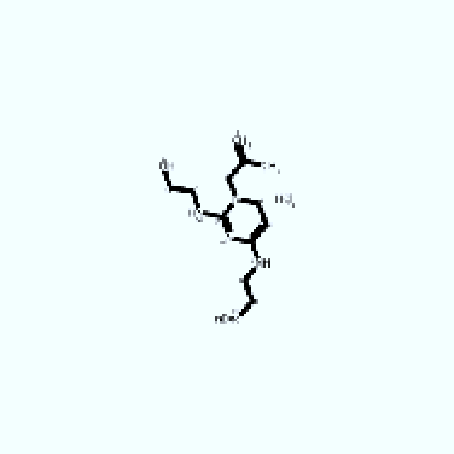 C=C(C)CN1CC=C(NCCCCCCCCCCCC)N=C1NCCO.Cl